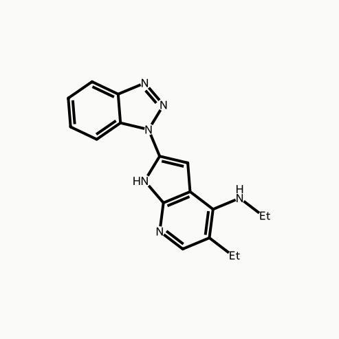 CCNc1c(CC)cnc2[nH]c(-n3nnc4ccccc43)cc12